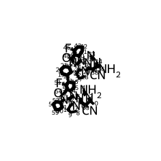 Cc1nc(N)nc(N2CCC[C@H]2c2nc3ccc(-c4cccc(-n5c([C@@H]6CCCN6c6nc(N)nc(N)c6C#N)nc6cccc(F)c6c5=O)c4)c(F)c3c(=O)n2-c2ccccc2)c1C#N